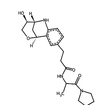 CC(NC(=O)CCc1ccc2c(c1)[C@@H]1C[C@@H](N2)[C@H](O)CO1)C(=O)N1CCCC1